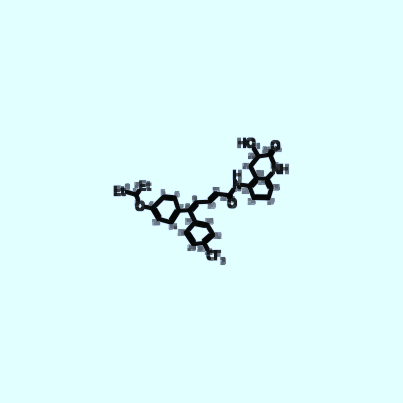 CCC(CC)Oc1ccc(/C(=C/C=C/C(=O)Nc2cccc3c2CC(O)C(=O)N3)c2ccc(C(F)(F)F)cc2)cc1